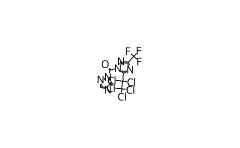 O=C(n1cncn1)n1nc(C(F)(F)F)nc1C(Cl)(Cl)C(Cl)(Cl)Cl